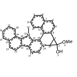 COC1(O)C2c3ccc4ccccc4c3-c3c4c(nc[n+]3C21)c1ccc2ccccc2c1n4C